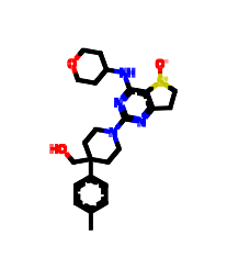 Cc1ccc(C2(CO)CCN(c3nc4c(c(NC5CCOCC5)n3)[S+]([O-])CC4)CC2)cc1